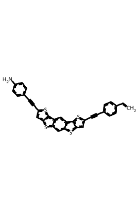 C=Cc1ccc(C#Cc2cc3sc4cc5sc6cc(C#Cc7ccc(N)cc7)sc6c5cc4c3s2)cc1